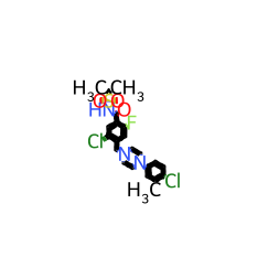 Cc1cc(N2CCN(Cc3cc(F)c(C(=O)NS(=O)(=O)C(C)C)cc3Cl)CC2)ccc1Cl